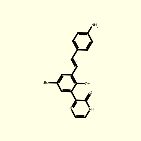 CC(C)(C)c1cc(/C=C/c2ccc(N)cc2)c(O)c(-c2ncc[nH]c2=O)c1